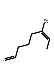 [CH]=CCCCC(=CC)CC